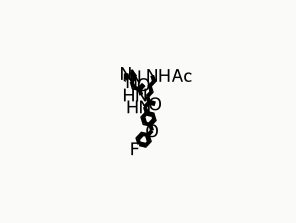 CC(=O)NCCCC(NC(=O)Cn1cncn1)C(=O)Nc1ccc(Oc2ccc(F)cc2)cc1